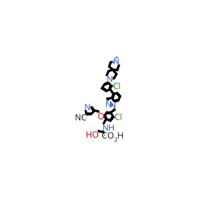 CN1CCC2(CC1)CCN(c1cccc(-c3cccc4c3cnn4Cc3cc(OCc4cncc(C#N)c4)c(CN[C@@H](CO)C(=O)O)cc3Cl)c1Cl)CC2